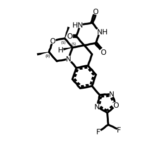 C[C@@H]1CN2c3ccc(-c4noc(C(F)F)n4)cc3CC3(C(=O)NC(=O)NC3=O)[C@H]2[C@H](C)O1